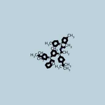 C=C/C(=C\C(=C)N(c1ccc(C(C)(C)C)cc1)c1cc(C)cc(N(c2ccc(C(C)(C)C)cc2)c2coc3ccccc23)c1)N(c1ccc(C)cc1)c1ccc(C)cc1